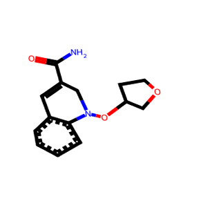 NC(=O)C1=Cc2ccccc2N(OC2CCOC2)C1